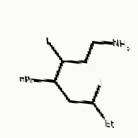 CCCC(CC(I)CC)C(I)CCN